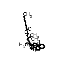 CCCCCCCCC(=O)OCC[C@H](CC[C@@H](C)[C@H]1CC[C@H]2[C@@H]3CCC4CCCC[C@]4(C)[C@H]3CC[C@]12C)C(C)C